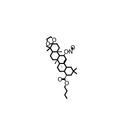 CCCCOC(=O)[C@@H]1CC(C)(C)CC2C3=C[C@H](ON=O)C4[C@@]5(C)CCC6(OCCO6)C(C)(C)C5CC[C@@]4(C)[C@]3(C)CCC21